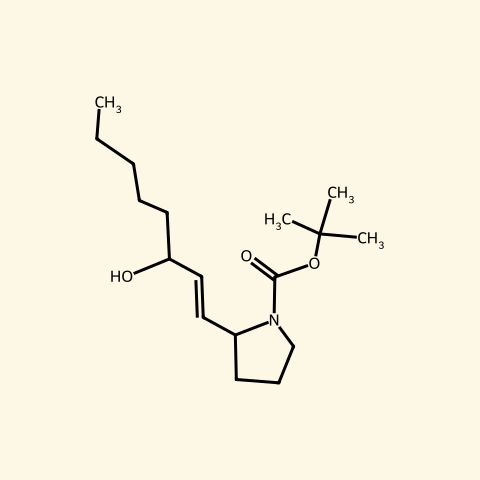 CCCCCC(O)C=CC1CCCN1C(=O)OC(C)(C)C